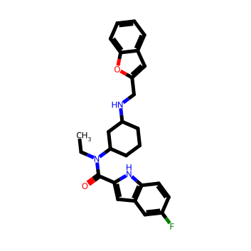 CCN(C(=O)c1cc2cc(F)ccc2[nH]1)C1CCCC(NCc2cc3ccccc3o2)C1